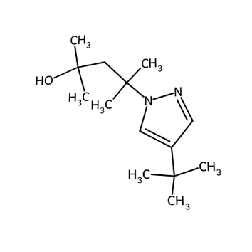 CC(C)(O)CC(C)(C)n1cc(C(C)(C)C)cn1